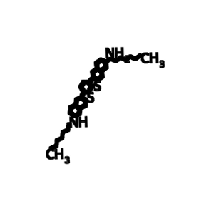 CCCCCCCCNc1ccc2cc3c(cc2c1)sc1c3ccc2c3cc4ccc(C(N)CCCCCCC)cc4cc3sc21